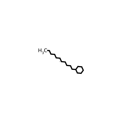 CCCCCC[CH]CCCCC1CCCCC1